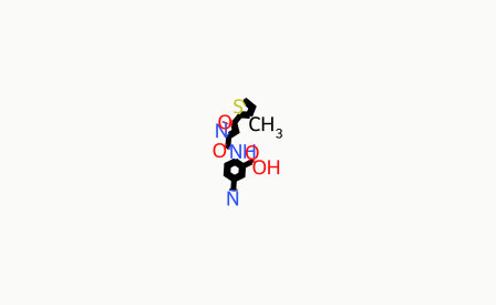 Cc1ccsc1-c1cc(C(=O)Nc2ccc(C#N)cc2C(=O)O)no1